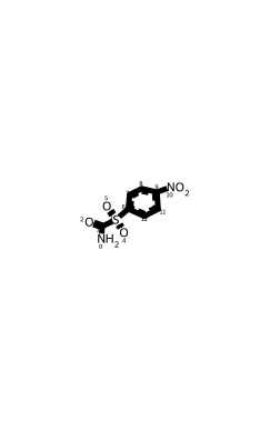 NC(=O)S(=O)(=O)c1ccc([N+](=O)[O-])cc1